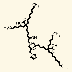 CCCCCCCCC(CCCCCC)(CCCCC(O)CN(CCCn1ccnc1)CC(O)CCCCC(CCCCCC)(CCCCCCCC)C(=O)O)C(=O)O